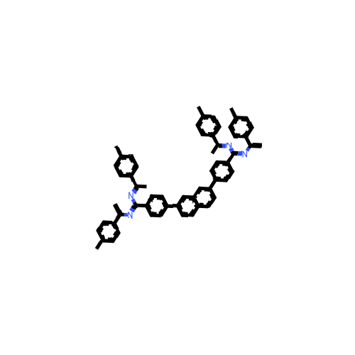 C=C(/N=C(\N=C(/C)c1ccc(C)cc1)c1ccc(-c2ccc3ccc(-c4ccc(C(=N/C(=C)c5ccc(C)cc5)/N=C(\C)c5ccc(C)cc5)cc4)cc3c2)cc1)c1ccc(C)cc1